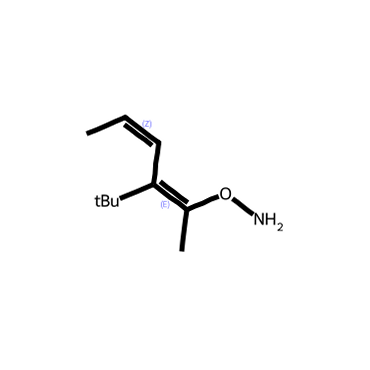 C/C=C\C(=C(\C)ON)C(C)(C)C